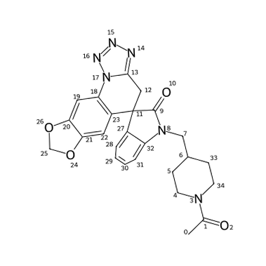 CC(=O)N1CCC(CN2C(=O)C3(Cc4nnnn4-c4cc5c(cc43)OCO5)c3ccccc32)CC1